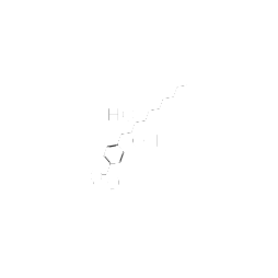 CCCCCCCC(O)[C@H](O)Cc1ccc(C(OC)OC)cc1